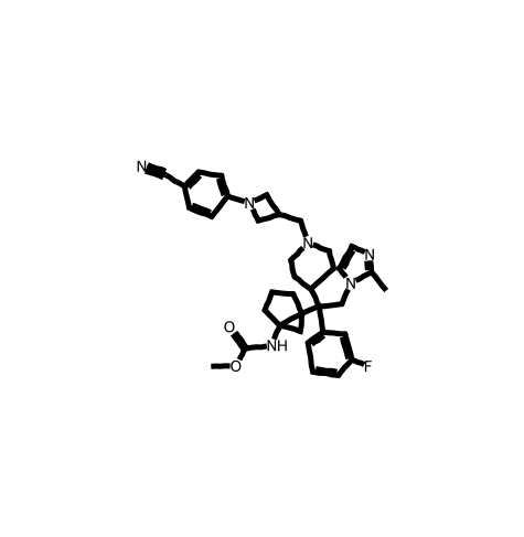 COC(=O)NC12CCCC1(C(Cn1ccnc1C)(c1cccc(F)c1)C1CCN(CC3CN(c4ccc(C#N)cc4)C3)CC1)C2